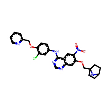 O=[N+]([O-])c1cc2c(Nc3ccc(OCc4ccccn4)c(Cl)c3)ncnc2cc1OCC12CCC(CC1)N2